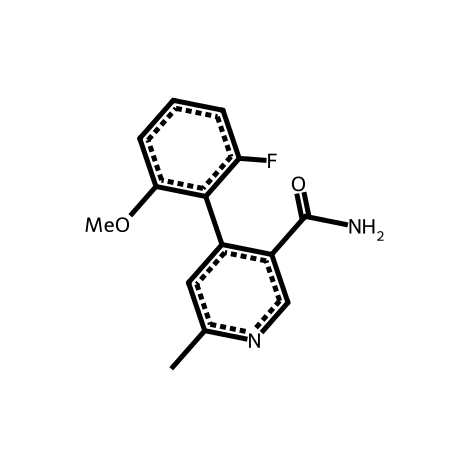 COc1cccc(F)c1-c1cc(C)ncc1C(N)=O